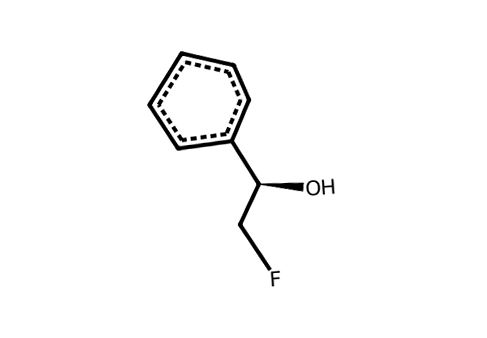 O[C@@H](CF)c1ccccc1